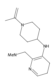 C=C(C)N1CCC(NC2=C(CNC)N=CCC2)CC1